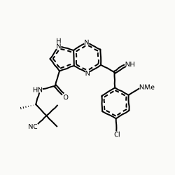 CNc1cc(Cl)ccc1C(=N)c1cnc2[nH]cc(C(=O)N[C@@H](C)C(C)(C)C#N)c2n1